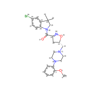 CC(C)Oc1ccccc1N1CCN(C[C@@H]2CC(C(=O)N3CC(C)(C)c4cc(Br)ccc43)=NO2)CC1